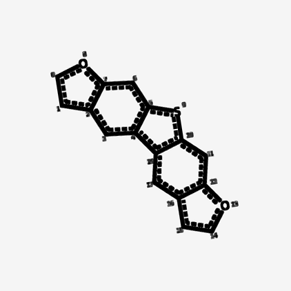 c1cc2cc3c(cc2o1)sc1cc2occc2cc13